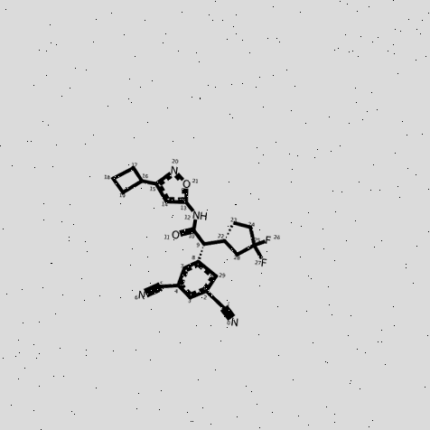 N#Cc1cc(C#N)cc([C@H](C(=O)Nc2cc(C3CCC3)no2)[C@@H]2CCC(F)(F)C2)c1